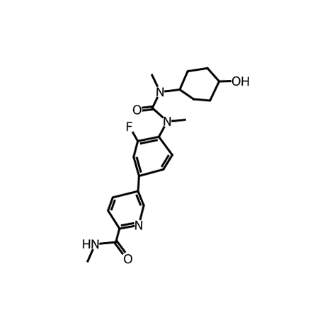 CNC(=O)c1ccc(-c2ccc(N(C)C(=O)N(C)C3CCC(O)CC3)c(F)c2)cn1